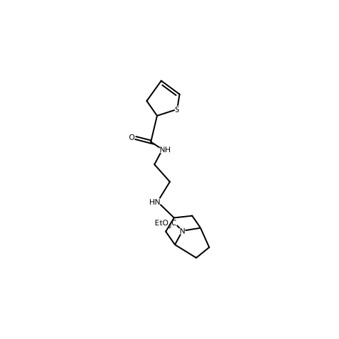 CCOC(=O)N1C2CCC1CC(NCCNC(=O)C1CC=CS1)C2